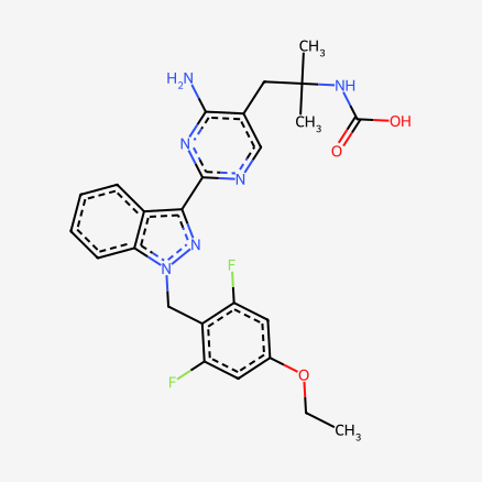 CCOc1cc(F)c(Cn2nc(-c3ncc(CC(C)(C)NC(=O)O)c(N)n3)c3ccccc32)c(F)c1